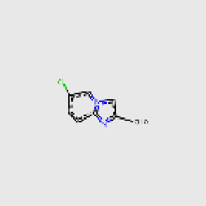 O=Cc1cn2cc(Cl)ccc2n1